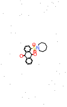 O=C1c2ccccc2C(=O)c2c1cccc2S(=O)(=O)N1CCCCCCC1